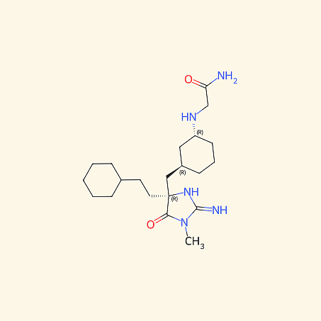 CN1C(=N)N[C@](CCC2CCCCC2)(C[C@@H]2CCC[C@@H](NCC(N)=O)C2)C1=O